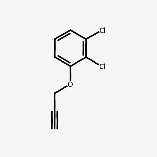 C#CCOc1c[c]cc(Cl)c1Cl